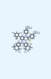 Cc1cc(C)c(-c2cc3c4c(c2)N(c2ccc(C(C)(C)C)cc2)c2c(sc5ccc(C(C)(C)C)cc25)B4c2cc4c(cc2N3c2ccc3c(c2)C(C)(C)CCC3(C)C)C(C)(C)CCC4(C)C)c(C)c1